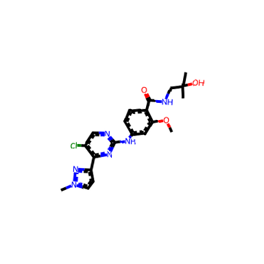 COc1cc(Nc2ncc(Cl)c(-c3ccn(C)n3)n2)ccc1C(=O)NCC(C)(C)O